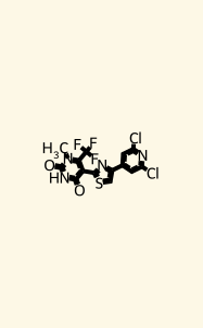 Cn1c(C(F)(F)F)c(-c2nc(-c3cc(Cl)nc(Cl)c3)cs2)c(=O)[nH]c1=O